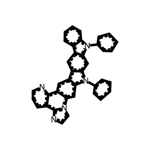 c1ccc(-n2c3ccccc3c3cc4c5cc6c7ncccc7c7nccn7c6cc5n(-c5ccccc5)c4cc32)cc1